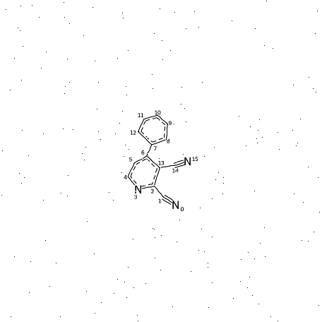 N#Cc1nccc(-c2ccccc2)c1C#N